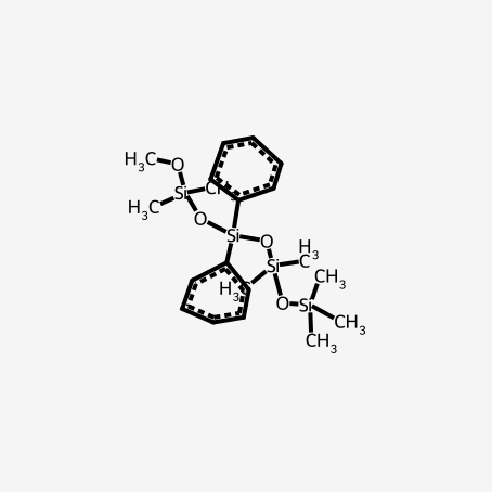 CO[Si](C)(C)O[Si](O[Si](C)(C)O[Si](C)(C)C)(c1ccccc1)c1ccccc1